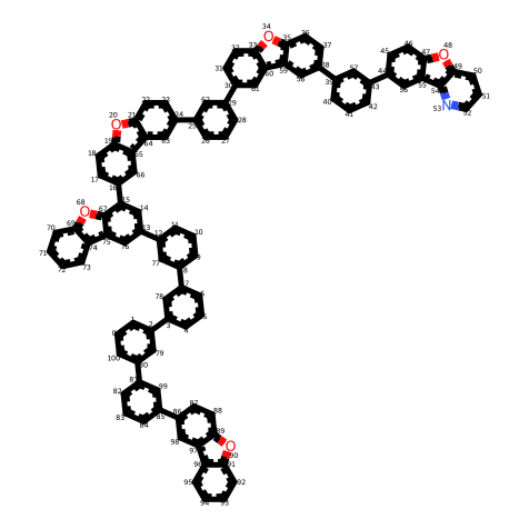 c1cc(-c2cccc(-c3cccc(-c4cc(-c5ccc6oc7ccc(-c8cccc(-c9ccc%10oc%11ccc(-c%12cccc(-c%13ccc%14oc%15cccnc%15c%14c%13)c%12)cc%11c%10c9)c8)cc7c6c5)c5oc6ccccc6c5c4)c3)c2)cc(-c2cccc(-c3ccc4oc5ccccc5c4c3)c2)c1